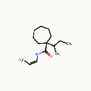 C/C=C\NC(=O)C1(C(C)CC)CCCCCC1